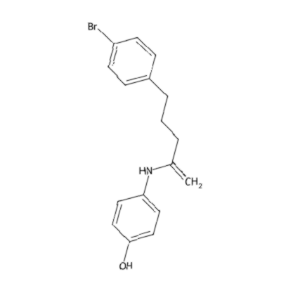 C=C(CCCc1ccc(Br)cc1)Nc1ccc(O)cc1